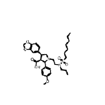 CCCCCCCS(=O)(=O)N(CCC)CCN1CC(c2ccc3c(c2)OCO3)C(C(=O)O)C1c1ccc(OC)cc1